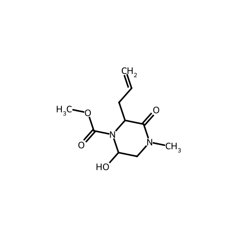 C=CCC1C(=O)N(C)CC(O)N1C(=O)OC